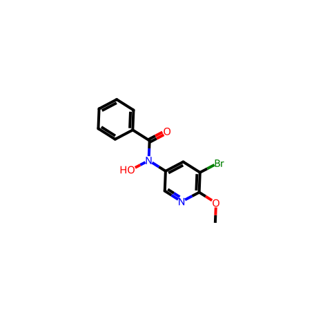 COc1ncc(N(O)C(=O)c2ccccc2)cc1Br